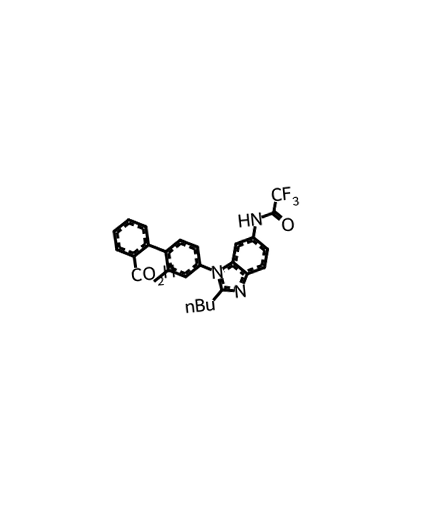 CCCCc1nc2ccc(NC(=O)C(F)(F)F)cc2n1-c1ccc(-c2ccccc2C(=O)O)c(C)c1